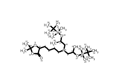 CC(CN(CCCCC1OC(C)(C)OC1=O)C[C@@H](C)O[Si](C)(C)C(C)(C)C)O[Si](C)(C)C(C)(C)C